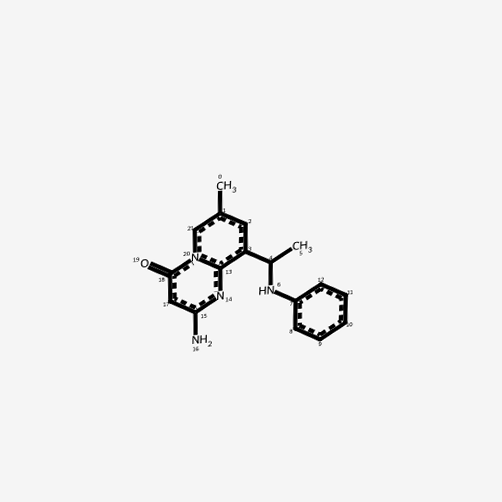 Cc1cc(C(C)Nc2ccccc2)c2nc(N)cc(=O)n2c1